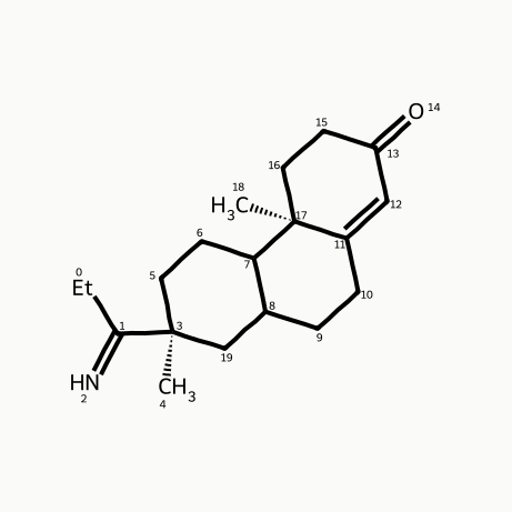 CCC(=N)[C@@]1(C)CCC2C(CCC3=CC(=O)CC[C@@]32C)C1